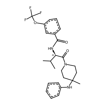 CC(C)[C@@H](NC(=O)c1cccc(OC(F)(F)F)c1)C(=O)N1CCC(C)(Nc2ccccc2)CC1